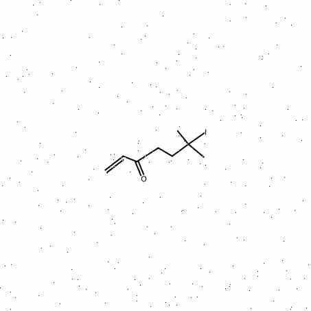 C=CC(=O)CCC(C)(C)I